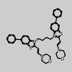 C(=CN1CCOCC1)c1sc2cc(-c3ccccc3)ccc2[n+]1CCCC[n+]1c(C=CN2CCOCC2)sc2cc(-c3ccccc3)ccc21